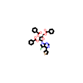 O=C(OC[C@H]1O[C@@H](n2cc(F)c3c(-c4ccsc4)ncnc32)[C@H](OC(=O)c2ccccc2)[C@@H]1OC(=O)c1ccccc1)c1ccccc1